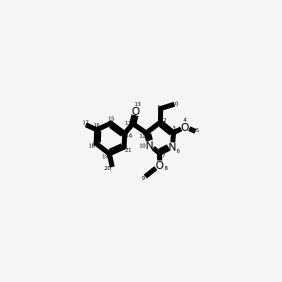 CCc1c(OC)nc(OC)nc1C(=O)c1cc(C)cc(C)c1